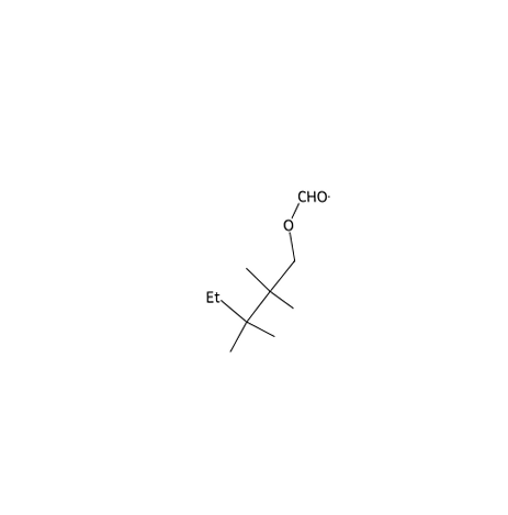 CCC(C)(C)C(C)(C)CO[C]=O